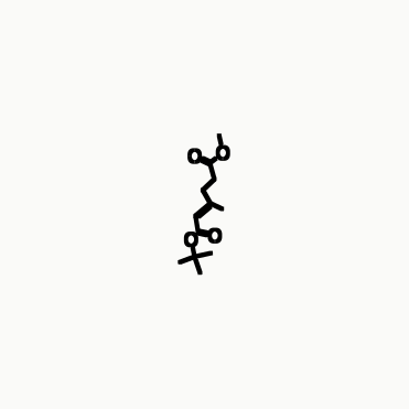 COC(=O)CC/C(C)=C/C(=O)OC(C)(C)C